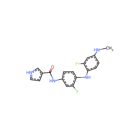 CNc1ccc(Nc2ccc(NC(=O)c3cc[nH]c3)cc2F)c(F)c1